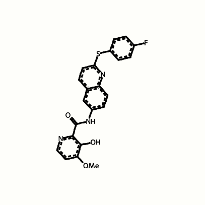 COc1ccnc(C(=O)Nc2ccc3nc(Sc4ccc(F)cc4)ccc3c2)c1O